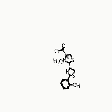 CN1C([C@@H]2CSC(c3ccccc3O)=N2)SC[C@@H]1C(=O)Cl